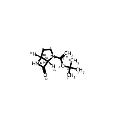 C=C(OC(C)(C)C)N1CC[C@H]2NC(=O)[C@H]21